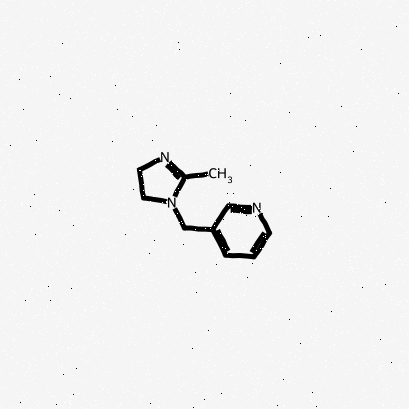 CC1=NCCN1Cc1cccnc1